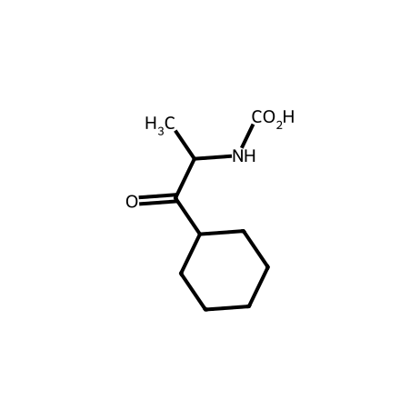 CC(NC(=O)O)C(=O)C1CCCCC1